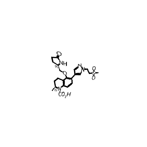 C[C@H]1CCc2c(ccc(-c3cnn(CCS(C)(=O)=O)c3)c2OC[C@H]2CCC(=O)N2)N1C(=O)O